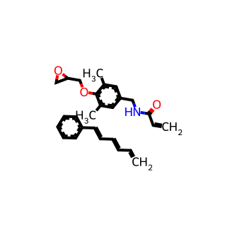 C=CC(=O)NCc1cc(C)c(OCC2CO2)c(C)c1.C=CC=CC=Cc1ccccc1